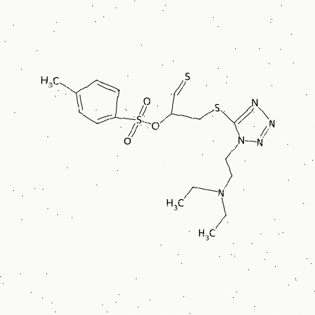 CCN(CC)CCn1nnnc1SCC([C]=S)OS(=O)(=O)c1ccc(C)cc1